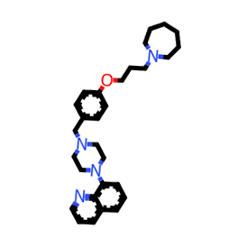 c1cnc2c(N3CCN(Cc4ccc(OCCCN5CCCCCC5)cc4)CC3)cccc2c1